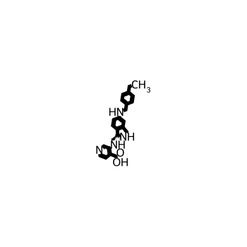 CCc1ccc(CNc2ccc3c(c2)CN[C@H]3CNc2cnccc2C(=O)O)cc1